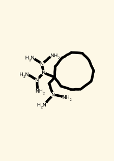 NN(N)CC1(N(N(N)N)N(N)N)CCCCCCCCCC1